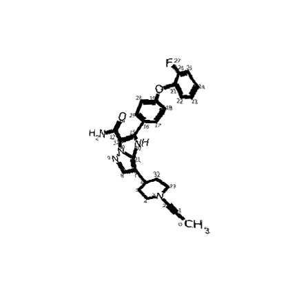 CC#CN1CCC(c2cnn3c(C(N)=O)c(-c4ccc(Oc5ccccc5F)cc4)[nH]c23)CC1